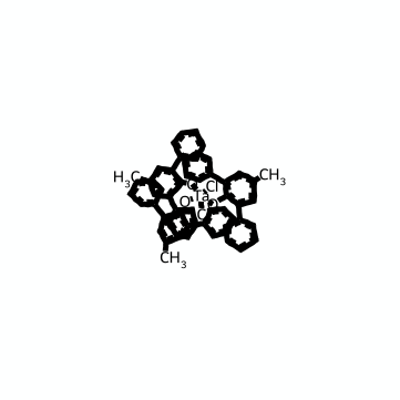 Cc1cc(-c2ccccc2)c([O][Ta]([Cl])([Cl])([O]c2c(-c3ccccc3)cc(C)cc2-c2ccccc2)[O]c2c(-c3ccccc3)cc(C)cc2-c2ccccc2)c(-c2ccccc2)c1